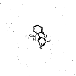 C#C/C(F)=C\C(=C/C)[C@@]1(NC)CCCCC1=O